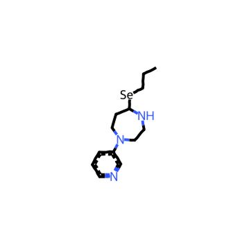 CCC[Se]C1CCN(c2cccnc2)CCN1